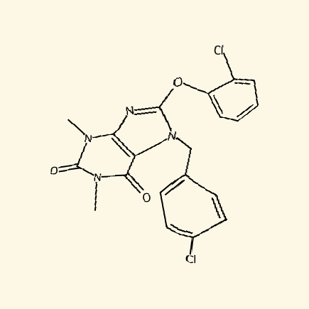 Cn1c(=O)c2c(nc(Oc3ccccc3Cl)n2Cc2ccc(Cl)cc2)n(C)c1=O